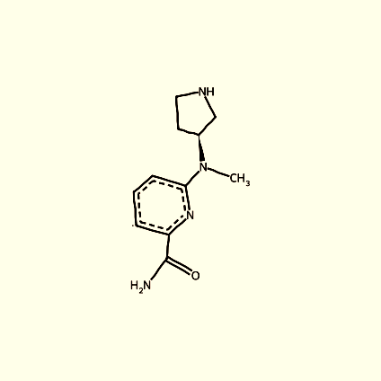 CN(c1cc[c]c(C(N)=O)n1)[C@H]1CCNC1